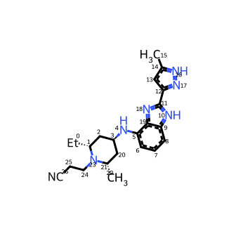 CC[C@@H]1C[C@@H](Nc2cccc3[nH]c(-c4cc(C)[nH]n4)nc23)C[C@H](C)N1CCC#N